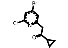 O=C(Cc1cc(Br)cc(Cl)n1)C1CC1